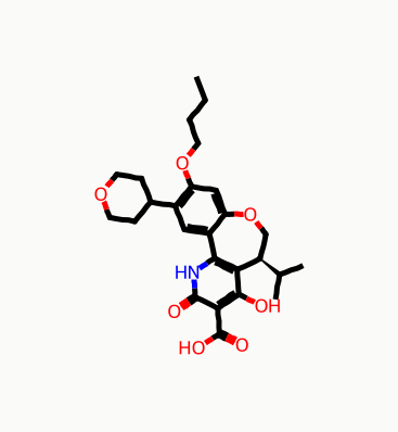 CCCCOc1cc2c(cc1C1CCOCC1)-c1[nH]c(=O)c(C(=O)O)c(O)c1[C@H](C(C)C)CO2